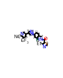 CCc1ncsc1C(=O)NCc1ccc(-n2cc(-c3cnc(C#N)c(C(F)(F)F)c3)cn2)cc1F